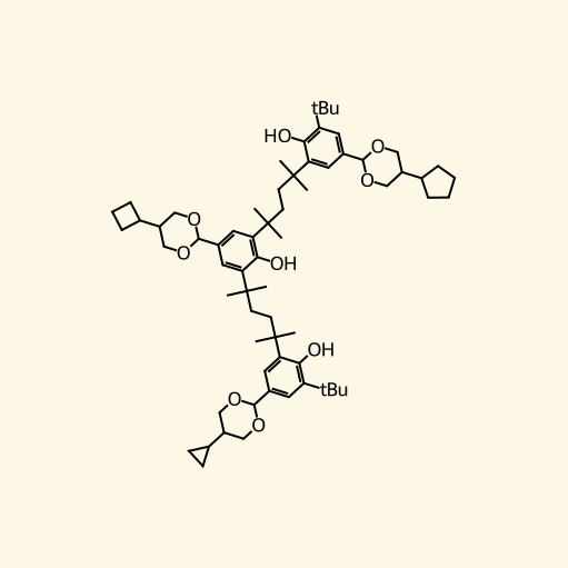 CC(C)(C)c1cc(C2OCC(C3CCCC3)CO2)cc(C(C)(C)CCC(C)(C)c2cc(C3OCC(C4CCC4)CO3)cc(C(C)(C)CCC(C)(C)c3cc(C4OCC(C5CC5)CO4)cc(C(C)(C)C)c3O)c2O)c1O